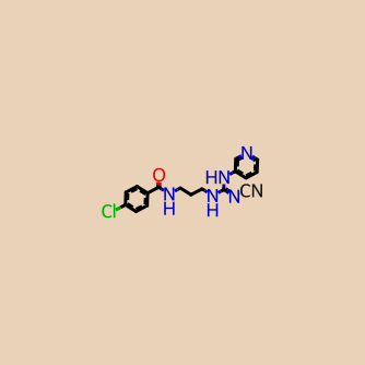 N#CN=C(NCCCNC(=O)c1ccc(Cl)cc1)Nc1cccnc1